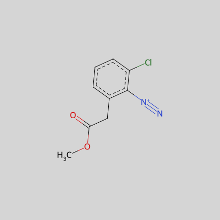 COC(=O)Cc1cccc(Cl)c1[N+]#N